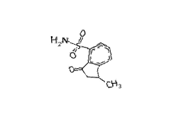 CC1CC(=O)c2c1cccc2S(N)(=O)=O